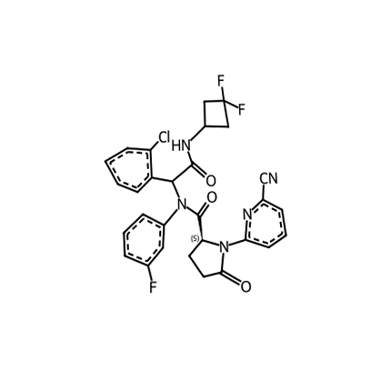 N#Cc1cccc(N2C(=O)CC[C@H]2C(=O)N(c2cccc(F)c2)C(C(=O)NC2CC(F)(F)C2)c2ccccc2Cl)n1